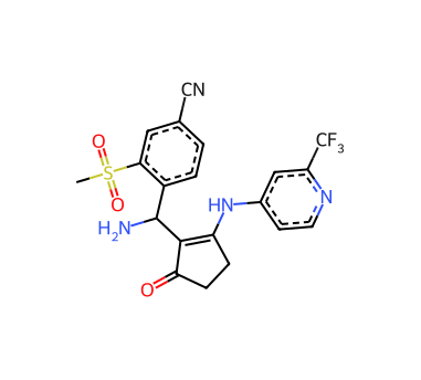 CS(=O)(=O)c1cc(C#N)ccc1C(N)C1=C(Nc2ccnc(C(F)(F)F)c2)CCC1=O